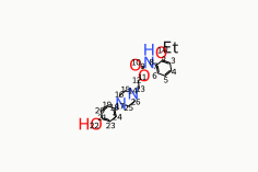 CCOc1ccccc1NC(=O)OCCN1CCN(c2ccc(O)cc2)CC1